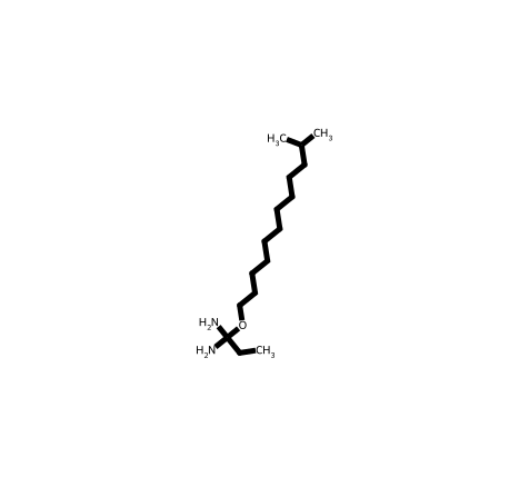 CCC(N)(N)OCCCCCCCCCCC(C)C